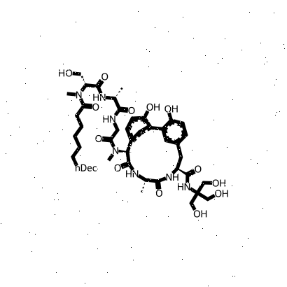 CCCCCCCCCCCCCCCC(=O)N(C)[C@H](CO)C(=O)N[C@H](C)C(=O)NCC(=O)N(C)[C@@H]1C(=O)N[C@@H](C)C(=O)N[C@H](C(=O)NC(CO)(CO)CO)Cc2ccc(O)c(c2)-c2cc1ccc2O